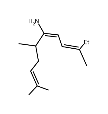 CC/C(C)=C\C=C(\N)C(C)CC=C(C)C